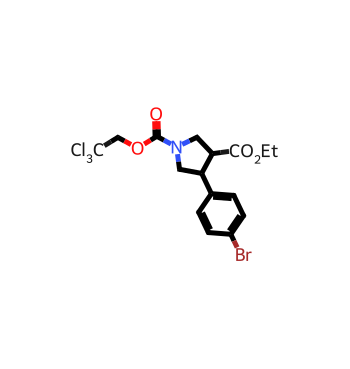 CCOC(=O)C1CN(C(=O)OCC(Cl)(Cl)Cl)CC1c1ccc(Br)cc1